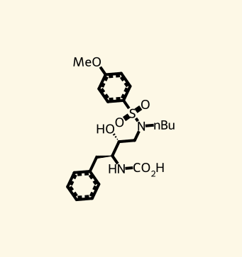 CCCCN(C[C@@H](O)[C@H](Cc1ccccc1)NC(=O)O)S(=O)(=O)c1ccc(OC)cc1